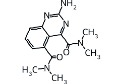 CN(C)C(=O)c1cccc2nc(N)nc(C(=O)N(C)C)c12